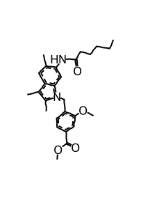 CCCCCC(=O)Nc1cc2c(cc1C)c(C)c(C)n2Cc1ccc(C(=O)OC)cc1OC